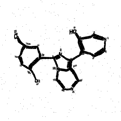 Oc1cnccc1-c1nc(-c2cc(Cl)ccc2O)n2ccncc12